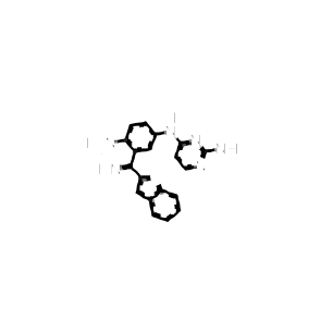 N=C(c1cc2ccccc2s1)c1cc(Nc2ccnc(N)n2)ccc1N